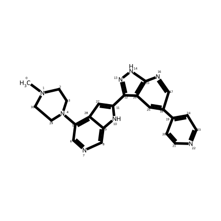 CN1CCN(c2cncc3[nH]c(-c4n[nH]c5ncc(-c6ccncc6)cc45)cc23)CC1